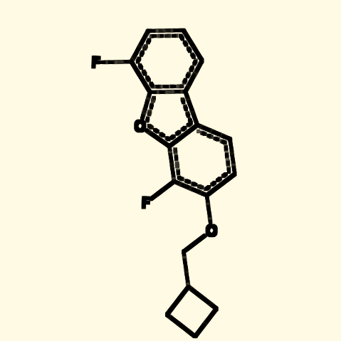 Fc1cccc2c1oc1c(F)c(OCC3CCC3)ccc12